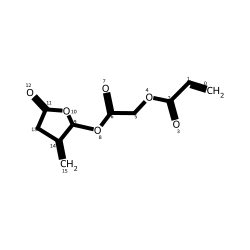 C=CC(=O)OCC(=O)OC1OC(=O)CC1=C